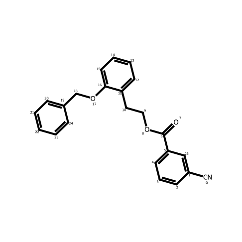 N#Cc1cccc(C(=O)OCCc2ccccc2OCc2ccccc2)c1